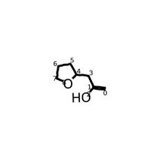 C=C(O)CC1CCCO1